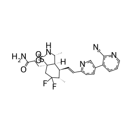 C[C@H]1NS(=O)(=O)[C@]2(CCC(N)=O)CC(F)(F)[C@@H](C)[C@H](/C=C/c3ccc(-c4cccnc4C#N)cn3)[C@H]12